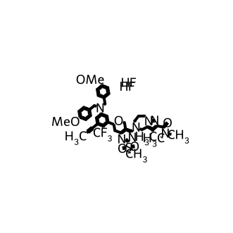 CC#Cc1cc(N(Cc2ccc(OC)cc2)Cc2ccc(OC)cc2)cc(C2Cc3nc(S(C)(=O)=O)nc(N4CCCn5nc(C(=O)N(C)C)c(C)c5C4)c3CO2)c1C(F)(F)F.F.F